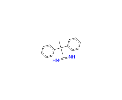 CC(C)(c1ccccc1)c1ccccc1.N=C=N